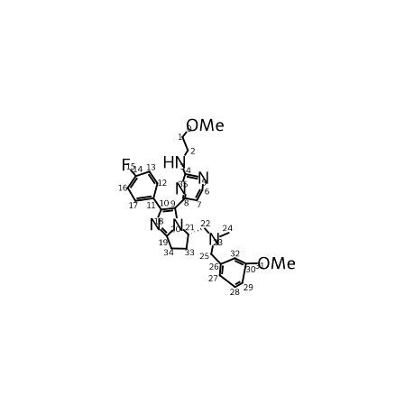 COCCNc1nccc(-c2c(-c3ccc(F)cc3)nc3n2[C@H](CN(C)Cc2cccc(OC)c2)CC3)n1